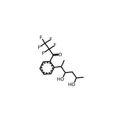 CC(O)CC(O)C(C)c1ccccc1C(=O)C(F)(F)C(F)(F)F